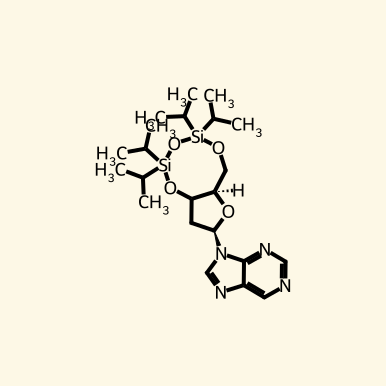 CC(C)[Si]1(C(C)C)OC[C@H]2O[C@@H](n3cnc4cncnc43)CC2O[Si](C(C)C)(C(C)C)O1